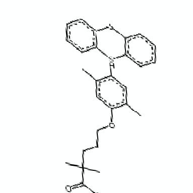 COC(=O)C(C)(C)CCCOc1cc(C)c([SH]2c3ccccc3Sc3ccccc32)cc1C